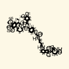 CC[C@H](C(=O)N1CCCC[C@H]1C(=O)O[C@H](CCc1ccc(OC)c(OC)c1)c1ccc(OCC(=O)NCCCCNc2cccc3c2C(=O)N(C2CCC(=O)NC2=O)C3=O)cc1)c1cc(OC)c(OC)c(OC)c1